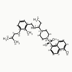 CCC(NCc1cccc(OCC(C)C)c1C)N1CCN(S(=O)(=O)c2cccc3c(Cl)cccc23)CC1